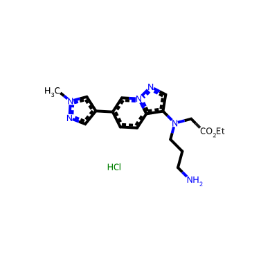 CCOC(=O)CN(CCCN)c1cnn2cc(-c3cnn(C)c3)ccc12.Cl